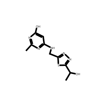 Cc1nc(O)cc(NCc2nnc(C(C)O)s2)n1